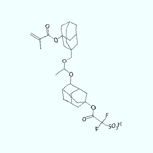 C=C(C)C(=O)OC12CC3CC(CC(COC(C)OC4C5CC6CC4CC(OC(=O)C(F)(F)S(=O)(=O)O)(C6)C5)(C3)C1)C2